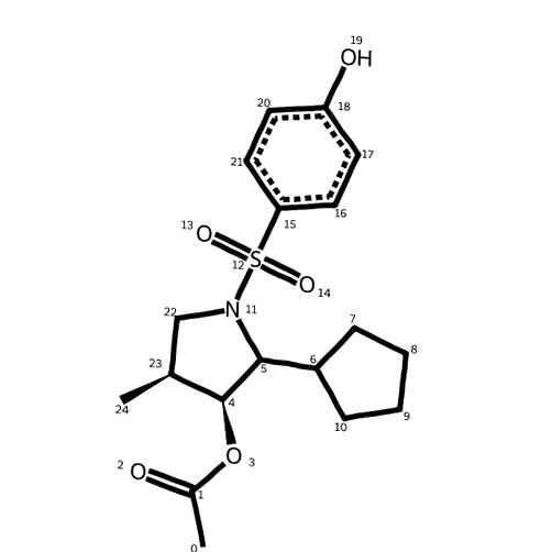 CC(=O)O[C@@H]1C(C2CCCC2)N(S(=O)(=O)c2ccc(O)cc2)C[C@@H]1C